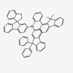 CC1(C)c2ccccc2-c2cccc(-c3ccccc3N(c3ccc4c(c3)C3(CCc5ccccc53)c3ccccc3-4)c3ccc4c(c3)C(c3ccccc3)(c3ccccc3)c3ccccc3-4)c21